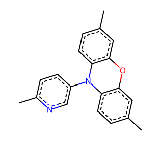 Cc1ccc2c(c1)Oc1cc(C)ccc1N2c1ccc(C)nc1